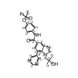 C[C@H](n1cnc2cc(C(=O)Nc3ccc(OC(F)(F)Cl)cc3)cc(-c3cncnc3)c21)C(C)(C)O